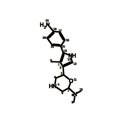 Cc1c(C2CNCC(N(C)C)O2)c[nH]c1-c1ccc(N)cc1